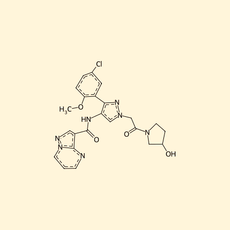 COc1ccc(Cl)cc1-c1nn(CC(=O)N2CCC(O)C2)cc1NC(=O)c1cnn2cccnc12